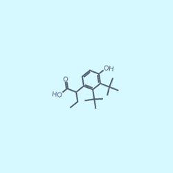 CCC(C(=O)O)c1ccc(O)c(C(C)(C)C)c1C(C)(C)C